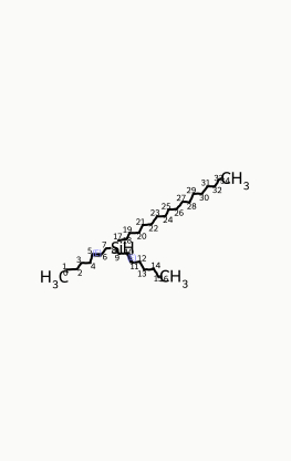 CCCCC/C=C/C[SiH](C/C=C/CCCCC)CCCCCCCCCCCCCCCCCC